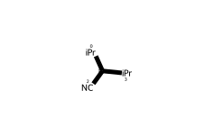 CC(C)C(C#N)C(C)C